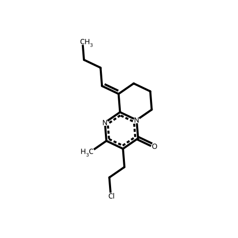 CCCC=C1CCCn2c1nc(C)c(CCCl)c2=O